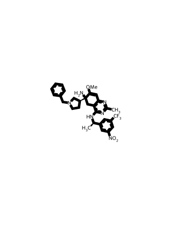 COC1=Cc2nc(C)nc(N[C@H](C)c3cc([N+](=O)[O-])cc(C(F)(F)F)c3)c2CC1(N)[C@H]1CCN(Cc2ccccc2)C1